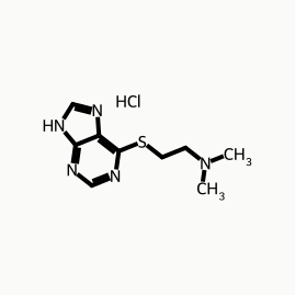 CN(C)CCSc1ncnc2[nH]cnc12.Cl